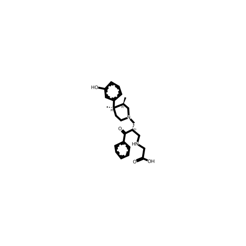 C[C@H]1CN(C[C@H](CNCC(=O)O)C(=O)c2ccccc2)CC[C@@]1(C)c1cccc(O)c1